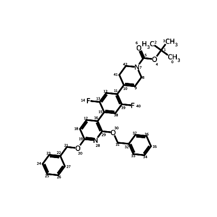 CC(C)(C)OC(=O)N1CC=C(c2cc(F)c(-c3ccc(OCc4ccccc4)nc3OCc3ccccc3)cc2F)CC1